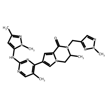 Cc1cc(Nc2ncc(C)c(-c3cc4n(c3)CC(C)N(Cc3cnn(C)n3)C4=O)n2)n(C)n1